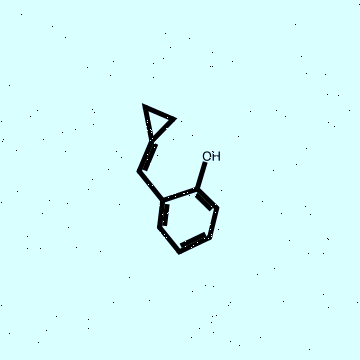 Oc1ccccc1C=C1CC1